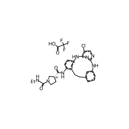 CCNC(=O)N1CC[C@@H](C(=O)Nc2ccc3cc2CCc2cccc(c2)Nc2ncc(Cl)c(n2)N3)C1.O=C(O)C(F)(F)F